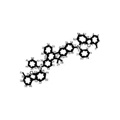 Cc1cccc2c1oc1c(N(c3ccccc3)c3ccc4cc5c(cc4c3)C(C)(C)c3c-5c4ccccc4c4cc(N(c5ccccc5)c5cccc6c5oc5c(C)cccc56)ccc34)cccc12